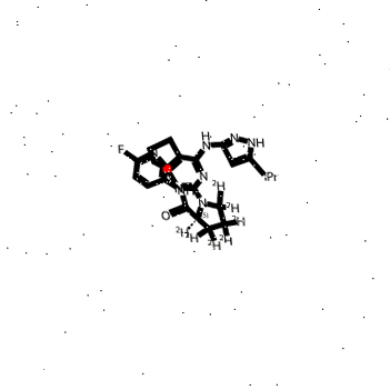 [2H]C1([2H])N(c2nc3c(c(Nc4cc(C(C)C)[nH]n4)n2)CCC3)[C@]([2H])(C(=O)Nc2ccc(F)nc2)C([2H])([2H])C1([2H])[2H]